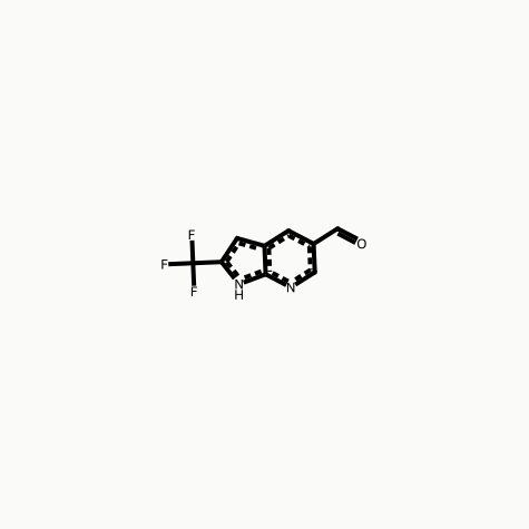 O=Cc1cnc2[nH]c(C(F)(F)F)cc2c1